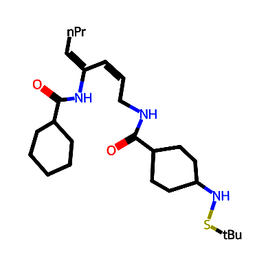 CCC/C=C(\C=C/CNC(=O)C1CCC(NSC(C)(C)C)CC1)NC(=O)C1CCCCC1